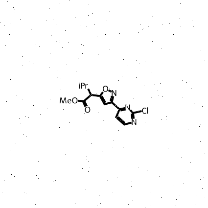 COC(=O)C(c1cc(-c2ccnc(Cl)n2)no1)C(C)C